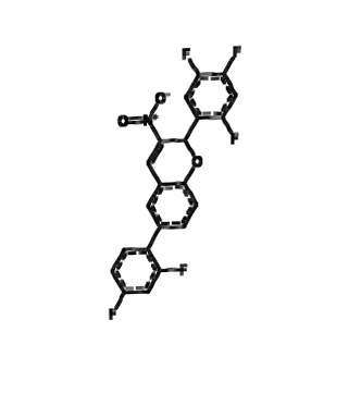 O=[N+]([O-])C1=Cc2cc(-c3ccc(F)cc3F)ccc2OC1c1cc(F)c(F)cc1F